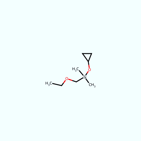 CCOC[Si](C)(C)OC1CC1